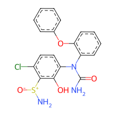 NC(=O)N(c1ccccc1Oc1ccccc1)c1ccc(Cl)c([S+](N)[O-])c1O